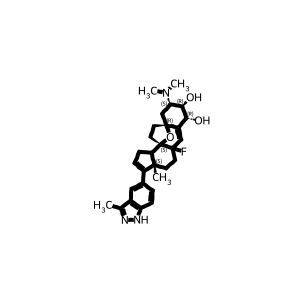 Cc1n[nH]c2ccc(C3=CCC4[C@@]56CC[C@]7(C[C@H](N(C)C)[C@@H](O)[C@H](O)C7=CC5(F)CC[C@]34C)O6)cc12